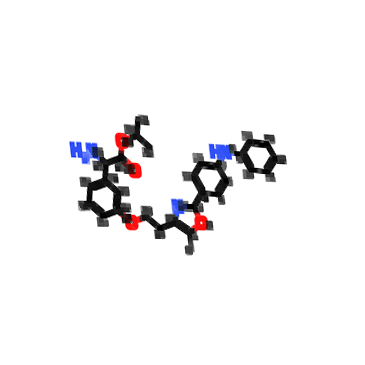 Cc1oc(-c2ccc(Nc3ccccc3)cc2)nc1CCOc1[c]c(C(N)C(=O)OC(C)C)ccc1